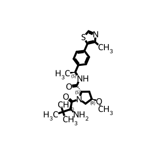 CO[C@@H]1C[C@@H](C(=O)N[C@@H](C)c2ccc(-c3scnc3C)cc2)N(C(=O)[C@@H](N)C(C)(C)C)C1